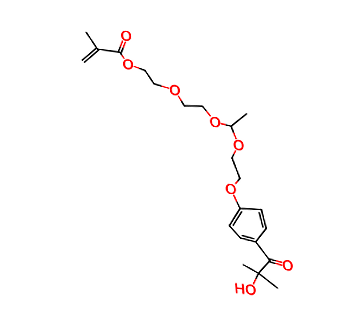 C=C(C)C(=O)OCCOCCOC(C)OCCOc1ccc(C(=O)C(C)(C)O)cc1